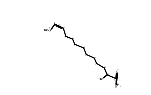 CCCCCCCC/C=C\CCCCCCCCC(O)C(N)=O